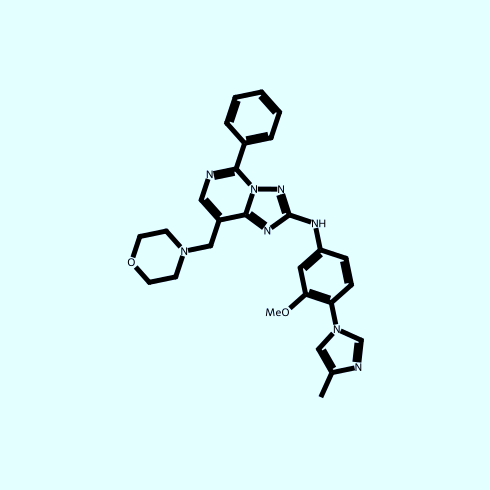 COc1cc(Nc2nc3c(CN4CCOCC4)cnc(-c4ccccc4)n3n2)ccc1-n1cnc(C)c1